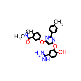 Cc1ccc(-c2nc(Oc3cccc(C(=O)N(C)C)c3)cc(Oc3cc(C(=N)N)ccc3O)n2)cc1